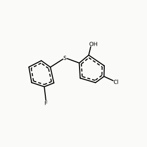 Oc1cc(Cl)ccc1Sc1cccc(F)c1